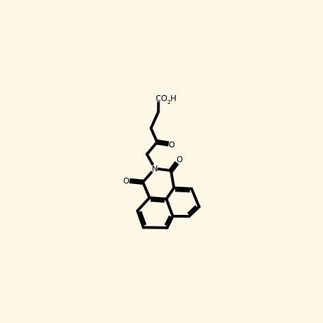 O=C(O)CCC(=O)CN1C(=O)c2cccc3cccc(c23)C1=O